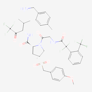 COc1ccc(CS(=O)(=O)[C@@H]2C[C@@H](C(=O)N[C@H](C(=O)C(F)(F)F)C(C)C)N(C(=O)[C@H](Cc3ccc(CN)cc3)NC(=O)C(F)(F)c3ccccc3C(F)(F)F)C2)cc1